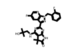 CC(C)(O)CNc1nc(-c2nn(Cc3ccccc3F)c3ncc(F)cc23)nc2c1C(C)(C)C(=O)N2